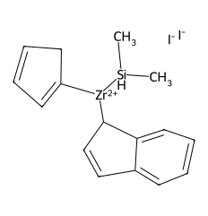 C[SiH](C)[Zr+2]([C]1=CC=CC1)[CH]1C=Cc2ccccc21.[I-].[I-]